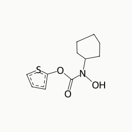 O=C(Oc1cccs1)N(O)C1CCCCC1